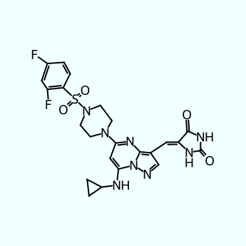 O=C1NC(=O)C(=Cc2cnn3c(NC4CC4)cc(N4CCN(S(=O)(=O)c5ccc(F)cc5F)CC4)nc23)N1